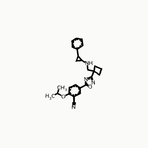 CC(C)Oc1ccc(-c2nc(C3(CNC4CC4c4ccccc4)CCC3)no2)cc1C#N